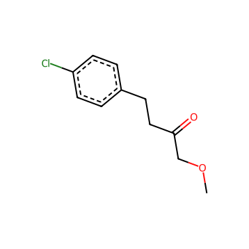 COCC(=O)CCc1ccc(Cl)cc1